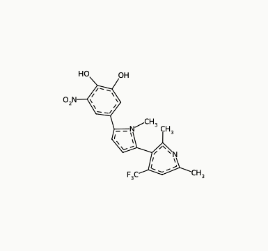 Cc1cc(C(F)(F)F)c(-c2ccc(-c3cc(O)c(O)c([N+](=O)[O-])c3)n2C)c(C)n1